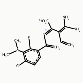 C=CC(=C(N)N)/C(=N\C(=C)c1ccc(Cl)c(N(C)C)c1F)C(=O)OCC